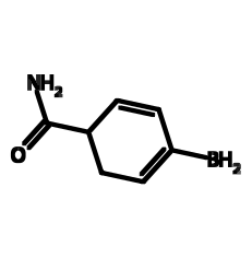 BC1=CCC(C(N)=O)C=C1